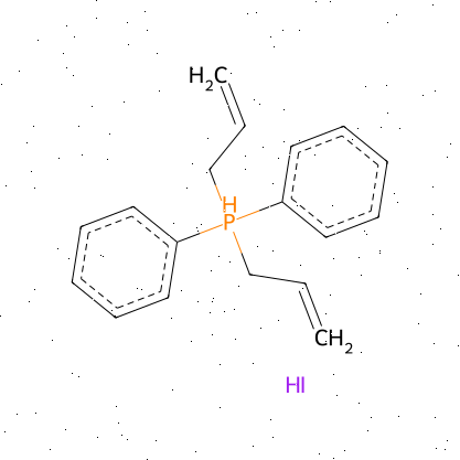 C=CC[PH](CC=C)(c1ccccc1)c1ccccc1.I